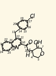 O=C(NC1CCOCC1O)c1cc(Cc2ccc(Cl)cc2)c2ccccc2n1